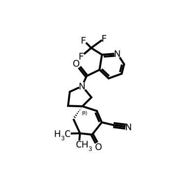 CC1(C)C[C@]2(C=C(C#N)C1=O)CCN(C(=O)c1cccnc1C(F)(F)F)C2